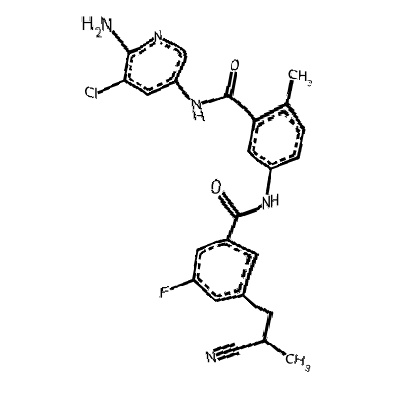 Cc1ccc(NC(=O)c2cc(F)cc(CC(C)C#N)c2)cc1C(=O)Nc1cnc(N)c(Cl)c1